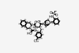 CS(=O)(=O)Nc1ccccc1N1CC2CC1CN2C(=O)[C@@H](Cc1ccc(Cl)cc1)NC(=O)[C@@H]1Cc2ccccc2CN1C(=O)O